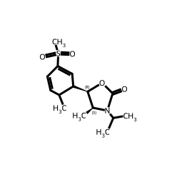 CC1C=CC(S(C)(=O)=O)=CC1[C@H]1OC(=O)N(C(C)C)[C@H]1C